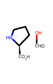 O=C(O)[C@@H]1CCCN1.O=CO